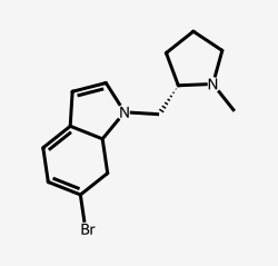 CN1CCC[C@H]1CN1C=CC2=CC=C(Br)CC21